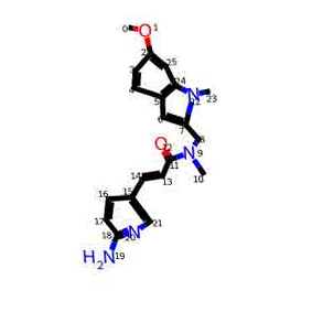 COc1ccc2cc(CN(C)C(=O)/C=C/c3ccc(N)nc3)n(C)c2c1